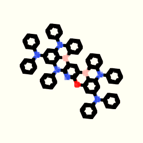 c1ccc(N(c2ccccc2)c2cc3c4c(c2)N(c2ccccc2)c2ccccc2B4c2cc4c(nc2O3)N(c2ccccc2)c2cc(N(c3ccccc3)c3ccccc3)cc3c2B4c2ccccc2N3c2ccccc2)cc1